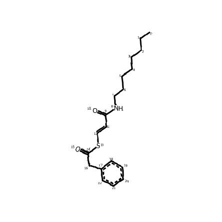 CCCCCCCCNC(=O)C=CSC(=O)Cc1ccccc1